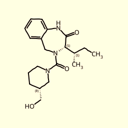 CC[C@H](C)[C@H]1C(=O)Nc2ccccc2CN1C(=O)N1CCC[C@@H](CO)C1